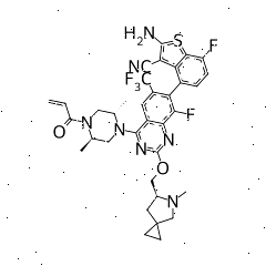 C=CC(=O)N1C[C@H](C)N(c2nc(OC[C@@H]3CC4(CC4)CN3C)nc3c(F)c(-c4ccc(F)c5sc(N)c(C#N)c45)c(C(F)(F)F)cc23)C[C@H]1C